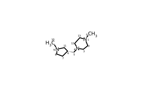 CN1CCN(C[C@@H]2CCN(C)C2)CC1